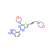 C(#Cc1cc2nc(-c3cccc4[nH]ncc34)nc(N3CCOCC3)c2s1)CN1CCOCC1